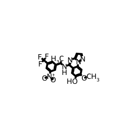 COc1cc2c(cc1O)c(NC(C)c1cc([N+](=O)[O-])cc(C(F)(F)F)c1)nc1ccnn12